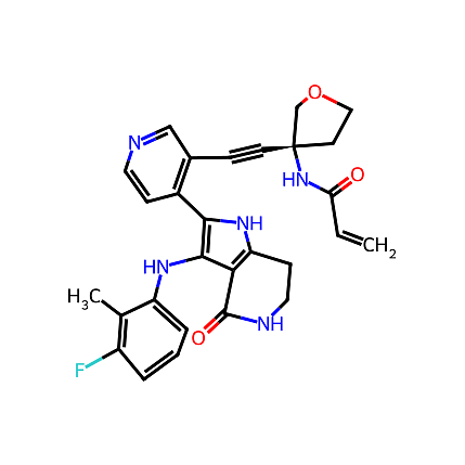 C=CC(=O)N[C@@]1(C#Cc2cnccc2-c2[nH]c3c(c2Nc2cccc(F)c2C)C(=O)NCC3)CCOC1